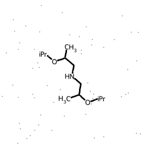 CC(C)OC(C)CNCC(C)OC(C)C